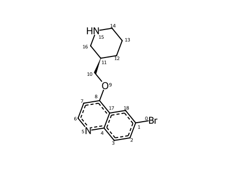 Brc1ccc2nccc(OC[C@@H]3CCCNC3)c2c1